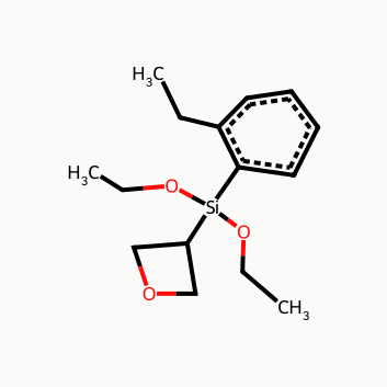 CCO[Si](OCC)(c1ccccc1CC)C1COC1